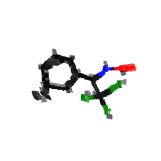 O=[N+]([O-])c1cccc(C(=NO)C(F)(F)Cl)c1